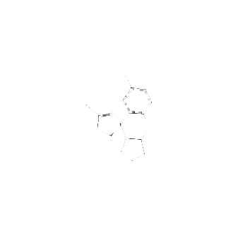 C[C@]12CCC[C@H]1[C@@]1(COC(N)=N1)c1cc(Cl)ccc1O2